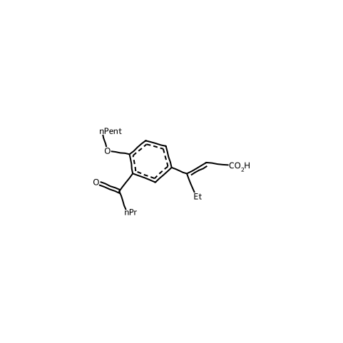 CCCCCOc1ccc(C(=CC(=O)O)CC)cc1C(=O)CCC